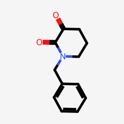 O=C1CCCN(Cc2ccccc2)C1=O